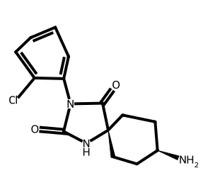 N[C@H]1CC[C@@]2(CC1)NC(=O)N(c1ccccc1Cl)C2=O